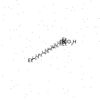 CCC=CCC=CCC=CCC=CCC=CCCCCOC(CC)(CC)C(=O)O